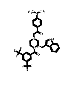 CN(C)c1ccc(C(=O)CN2CCN(C(=O)c3cc(C(F)(F)F)cc(C(F)(F)F)c3)[C@H](Cc3c[nH]c4ccccc34)C2)cc1